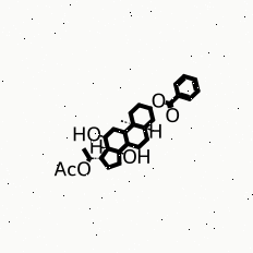 CC(=O)OC(C)[C@H]1CC[C@]2(O)C3CC[C@@H]4C[C@@H](OC(=O)c5ccccc5)CC[C@]4(C)C3C[C@@H](O)[C@H]12